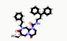 CC(C)C[C@@H]1CN2C(=O)CCN(C(=O)NCCC(c3ccccc3)c3ccccc3)C2CN(CCc2ccccc2)C1=O